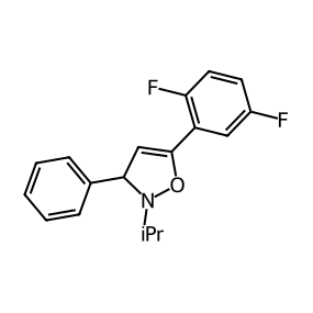 CC(C)N1OC(c2cc(F)ccc2F)=CC1c1ccccc1